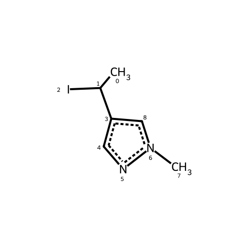 CC(I)c1cnn(C)c1